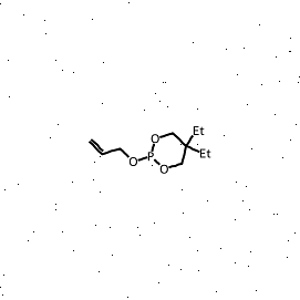 C=CCOP1OCC(CC)(CC)CO1